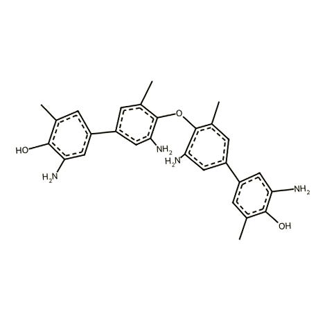 Cc1cc(-c2cc(C)c(Oc3c(C)cc(-c4cc(C)c(O)c(N)c4)cc3N)c(N)c2)cc(N)c1O